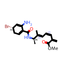 C=C(/C=C\C=C(/C)[C@@H](C)NC(=O)C1=CC[C@H](Br)C=C1N)C(=O)OC